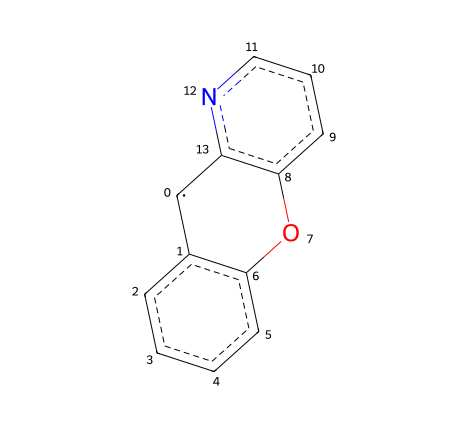 [CH]1c2ccccc2Oc2cccnc21